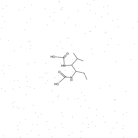 CCC(NC(=O)O)C(NC(=O)O)C(C)C